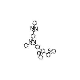 c1ccc(-c2cc(-c3ccc(-c4ccc(-c5cccc6c5sc5ccccc56)c5c4oc4ccccc45)cc3)nc(-c3ccc(-c4cnc(-c5ccccc5)nc4)cc3)n2)cc1